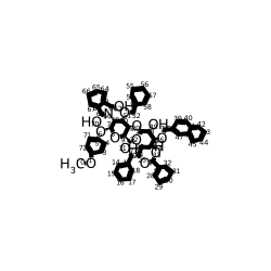 COc1ccc(O[C@@H]2O[C@H](COCc3ccccc3)[C@@H](O[C@@H]3O[C@@H]4COC(c5ccccc5)O[C@H]4[C@H](OCc4ccc5ccccc5c4)[C@@H]3O)[C@H](OCc3ccccc3)[C@H]2N2C(O)c3ccccc3C2O)cc1